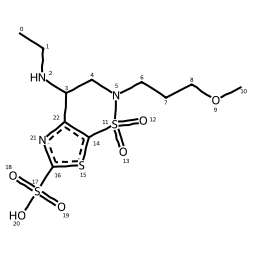 CCNC1CN(CCCOC)S(=O)(=O)c2sc(S(=O)(=O)O)nc21